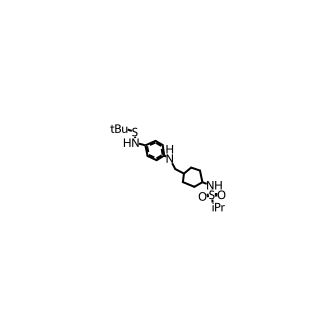 CC(C)S(=O)(=O)NC1CCC(CNc2ccc(NSC(C)(C)C)cc2)CC1